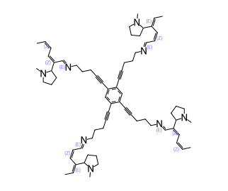 C\C=C/C=C(\C=N\CCCC#Cc1cc(C#CCCC/N=C/C=C\C(=C/C)C2CCCN2C)c(C#CCCC/N=C/C(=C\C=C/C)C2CCCN2C)cc1C#CCCC/N=C/C=C\C(=C/C)C1CCCN1C)C1CCCN1C